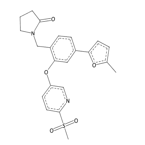 Cc1ccc(-c2ccc(CN3CCCC3=O)c(Oc3ccc(S(C)(=O)=O)nc3)c2)o1